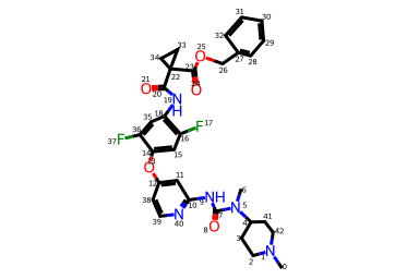 CN1CCC(N(C)C(=O)Nc2cc(Oc3cc(F)c(NC(=O)C4(C(=O)OCc5ccccc5)CC4)cc3F)ccn2)CC1